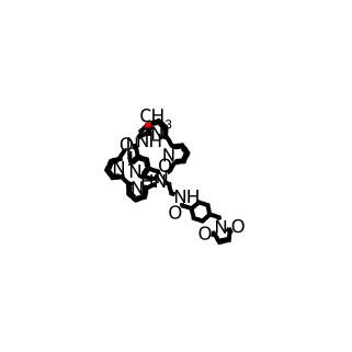 CCCNC(=O)c1cc(C(=O)NCCNC(=O)C2CCC(CN3C(=O)C=CC3=O)CC2)c2nc1C[N@]1Cc3cccc(n3)-c3cccc(n3)C[N@@](Cc3cccc(n3)-c3cccc(n3)C1)C2